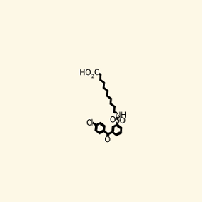 O=C(O)CCCCCCCCCCNS(=O)(=O)c1cccc(C(=O)c2ccc(Cl)cc2)c1